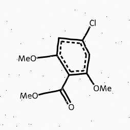 COC(=O)c1c(OC)cc(Cl)cc1OC